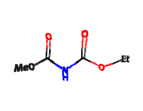 CCOC(=O)NC(=O)OC